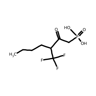 CCCCC(C(=O)CP(=O)(O)O)C(F)(F)F